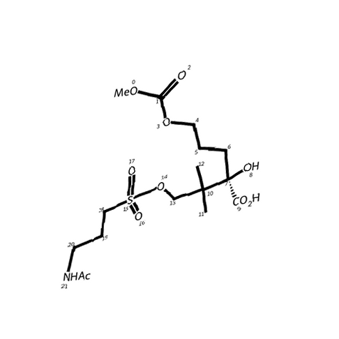 COC(=O)OCCC[C@](O)(C(=O)O)C(C)(C)COS(=O)(=O)CCCNC(C)=O